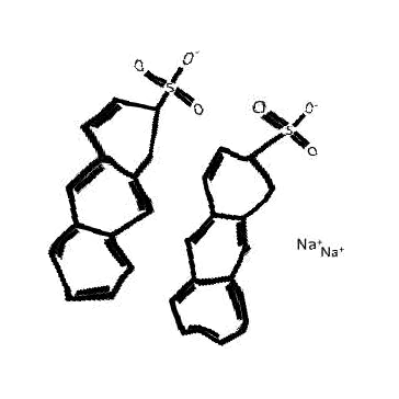 O=S(=O)([O-])C1C=Cc2cc3ccccc3cc2C1.O=S(=O)([O-])C1C=Cc2cc3ccccc3cc2C1.[Na+].[Na+]